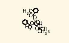 Cc1ccccc1C(=O)OC[C@@H]1O[C@H]2OC(C)(C)OC2C1(C)OC(=O)c1ccccc1